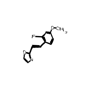 COc1ccc(C=Cc2ncco2)c(F)c1